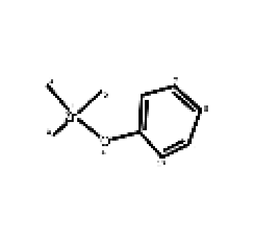 [CH3][Zr]([CH3])([CH3])[O]c1ccccc1